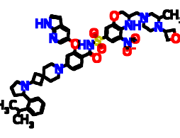 CC(C)c1ccccc1C1CCCN1C1CC2(CCN(c3ccc(C(=O)NS(=O)(=O)c4cc5c(c([N+](=O)[O-])c4)NC(CN4CCN(C6COC6)C(C)C4)CO5)c(Oc4cnc5[nH]ccc5c4)c3)CC2)C1